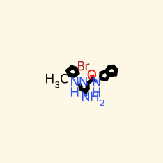 Cc1ccc(Br)cc1Nc1cc(N)cc(C(=O)NC2Cc3ccccc3C2)n1